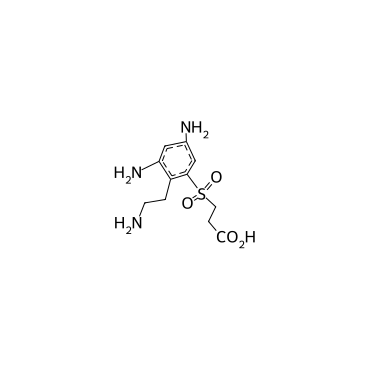 NCCc1c(N)cc(N)cc1S(=O)(=O)CCC(=O)O